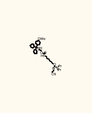 COc1ccc(C(NCCOC(=O)NCCCCCCOP(OCCC#N)N(C(C)C)C(C)C)(c2ccccc2)c2ccccc2)cc1